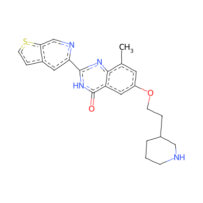 Cc1cc(OCCC2CCCNC2)cc2c(=O)[nH]c(-c3cc4ccsc4cn3)nc12